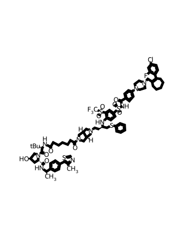 Cc1ncsc1-c1ccc([C@H](C)NC(=O)[C@@H]2C[C@@H](O)CN2C(=O)[C@@H](NC(=O)CCCCCC(=O)N2C[C@H]3CN(CC[C@H](CSc4ccccc4)Nc4ccc(S(=O)(=O)NC(=O)c5ccc(N6CCN(CC7=C(c8ccc(Cl)cc8F)CCCCC7)CC6)cc5)cc4S(=O)(=O)C(F)(F)F)C[C@H]3C2)C(C)(C)C)cc1